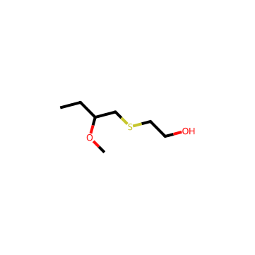 CCC(CSCCO)OC